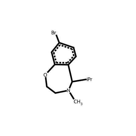 CC(C)C1c2ccc(Br)cc2OCCN1C